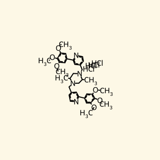 COc1cc(-c2cc(CN3CC(C)N(Cc4ccnc(-c5cc(OC)c(OC)c(OC)c5)c4)CC3C)ccn2)cc(OC)c1OC.Cl.Cl.Cl.Cl